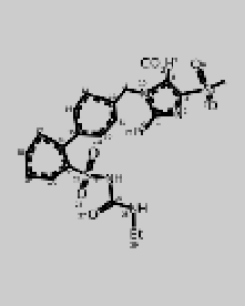 CCCc1nc(S(C)(=O)=O)c(C(=O)O)n1Cc1ccc(-c2ccccc2S(=O)(=O)NC(=O)NCC)cc1